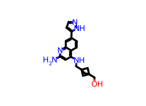 Nc1cc(NCC23CC(CO)(C2)C3)c2ccc(-c3ccn[nH]3)cc2n1